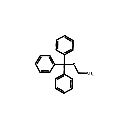 C[CH]SC(c1ccccc1)(c1ccccc1)c1ccccc1